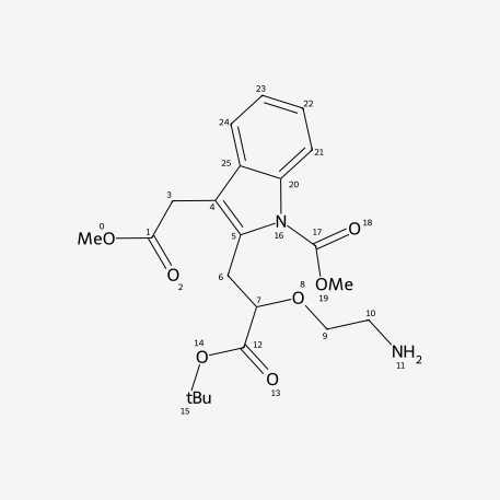 COC(=O)Cc1c(CC(OCCN)C(=O)OC(C)(C)C)n(C(=O)OC)c2ccccc12